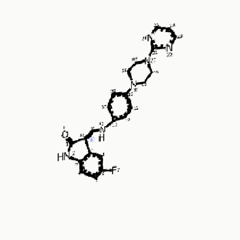 O=C1Nc2ccc(F)cc2/C1=C\Nc1ccc(N2CCN(c3ncccn3)CC2)cc1